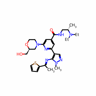 CCN(CC)[C@@H](C)CNC(=O)c1cc(-c2cnn(C)c2/N=C(\C)c2cccs2)nc(N2CCO[C@H](CO)C2)c1